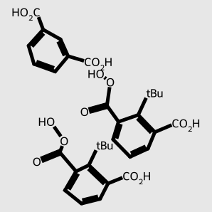 CC(C)(C)c1c(C(=O)O)cccc1C(=O)OO.CC(C)(C)c1c(C(=O)O)cccc1C(=O)OO.O=C(O)c1cccc(C(=O)O)c1